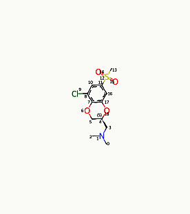 CN(C)C[C@H]1COc2c(Cl)cc(S(C)(=O)=O)cc2O1